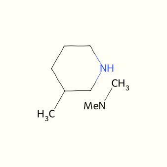 CC1CCCNC1.CNC